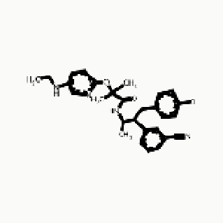 CCNc1ccc(OC(C)(C)C(=O)NC(C)C(Cc2ccc(Cl)cc2)c2cccc(C#N)c2)nc1